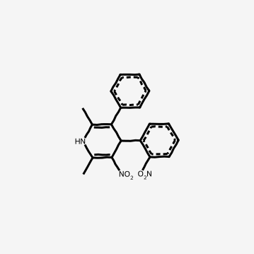 CC1=C(c2ccccc2)C(c2ccccc2[N+](=O)[O-])C([N+](=O)[O-])=C(C)N1